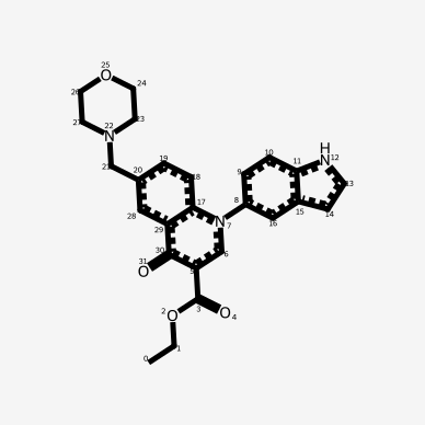 CCOC(=O)c1cn(-c2ccc3[nH]ccc3c2)c2ccc(CN3CCOCC3)cc2c1=O